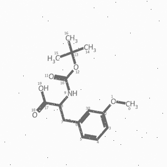 COc1cccc(CC(NC(=O)OC(C)(C)C)C(=O)O)c1